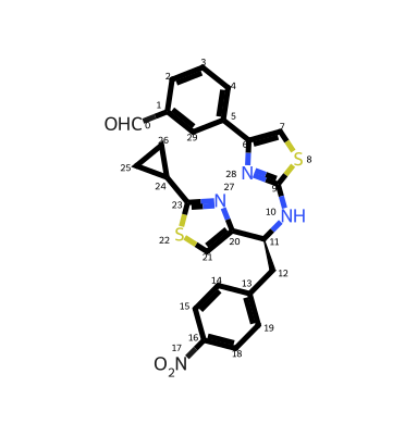 O=Cc1cccc(-c2csc(N[C@@H](Cc3ccc([N+](=O)[O-])cc3)c3csc(C4CC4)n3)n2)c1